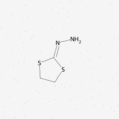 NN=C1SCCS1